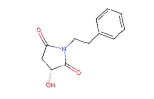 O=C1C[C@@H](O)C(=O)N1CCc1ccccc1